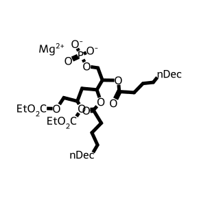 CCCCCCCCCCCCCC(=O)OC(COP(=O)([O-])[O-])C(CC(COC(=O)OCC)OC(=O)OCC)OC(=O)CCCCCCCCCCCCC.[Mg+2]